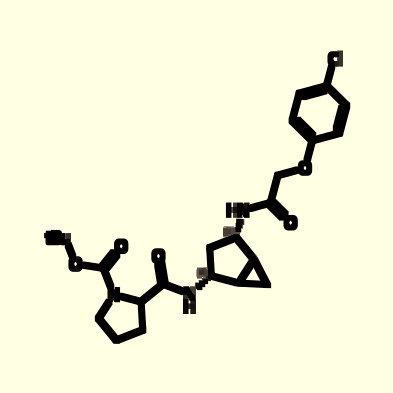 CC(C)(C)OC(=O)N1CCCC1C(=O)N[C@@H]1C[C@H](NC(=O)COc2ccc(Cl)cc2)C2CC21